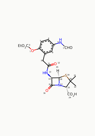 CCOC(=O)Oc1ccc(NC=O)cc1CC(=O)N[C@@H]1C(=O)N2[C@@H]1SC(C)(C)[C@@H]2C(=O)O